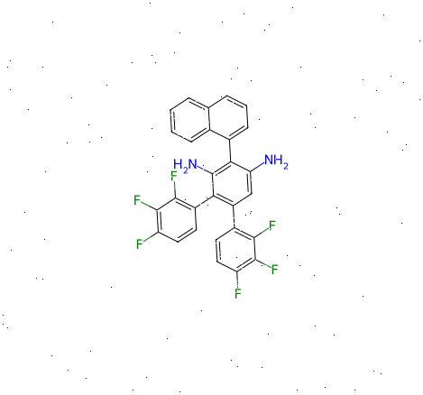 Nc1cc(-c2ccc(F)c(F)c2F)c(-c2ccc(F)c(F)c2F)c(N)c1-c1cccc2ccccc12